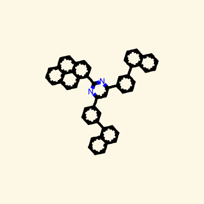 c1cc(-c2cc(-c3cccc(-c4cccc5ccccc45)c3)nc(-c3ccc4ccc5cccc6ccc3c4c56)n2)cc(-c2cccc3ccccc23)c1